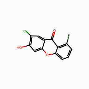 O=c1c2cc(Cl)c(O)cc2oc2cccc(F)c12